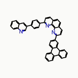 c1ccc2ncc(-c3ccc(-c4ccc5ccc6ccc(-c7ccc8c9ccccc9c9ccccc9c8c7)nc6c5n4)cc3)cc2c1